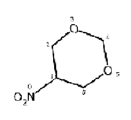 O=[N+]([O-])C1COCOC1